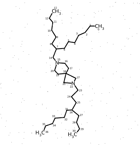 CCCCCCCC(CCCCCC)CN1CCC2(CC1)CN(CCCC(CCCC)CCCCCC)C2